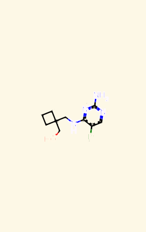 Nc1ncc(Br)c(NCC2(CO)CCC2)n1